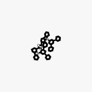 c1ccc(-c2cc(-c3ccccc3)cc(-n3c4ccccc4c4ccc(-c5nnc(-c6cccc7c8ccccc8n(-c8cc(-c9ccccc9)cc(-c9ccccc9)c8)c67)o5)cc43)c2)cc1